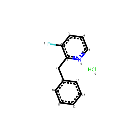 Cl.Fc1cccnc1Cc1ccccc1